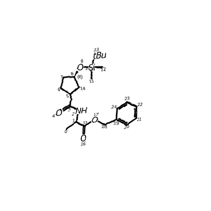 CC(NC(=O)C1CC[C@@H](O[Si](C)(C)C(C)(C)C)C1)C(=O)OCc1ccccc1